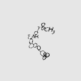 CCOC(=O)[C@H]1CC1c1ccc(NCc2cc3c(cc2F)CCCc2cc(OCC4CCS(=O)(=O)CC4)ccc2-3)cc1